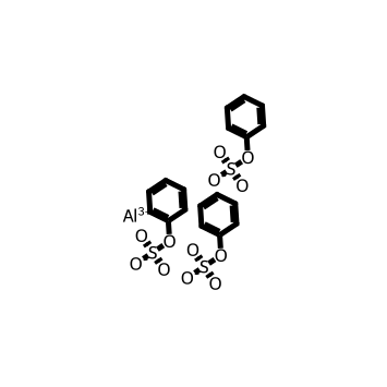 O=S(=O)([O-])Oc1ccccc1.O=S(=O)([O-])Oc1ccccc1.O=S(=O)([O-])Oc1ccccc1.[Al+3]